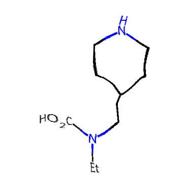 CCN(CC1CCNCC1)C(=O)O